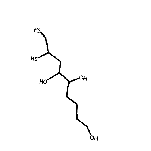 OCCCCC(O)C(O)CC(S)CS